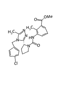 COC(=O)c1cccc(NC(=O)N2CCC[C@@H]2c2nnc(C)n2Cc2ccc(Cl)cc2)c1C